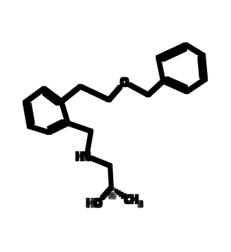 C[C@H](O)CNCc1ccccc1CCOCc1ccccc1